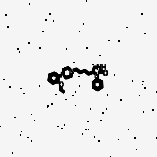 CCOc1ccccc1N1CCN(CCCCC2CNC(=O)N2c2ccccc2)CC1